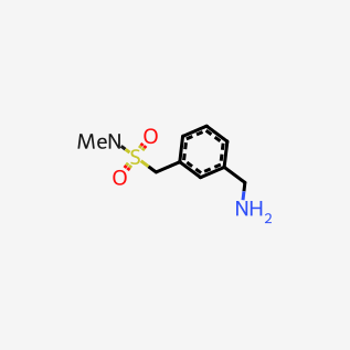 CNS(=O)(=O)Cc1cccc(CN)c1